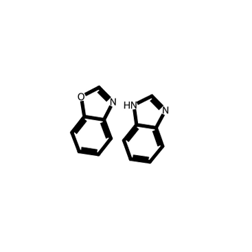 c1ccc2[nH]cnc2c1.c1ccc2ocnc2c1